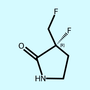 O=C1NCC[C@]1(F)CF